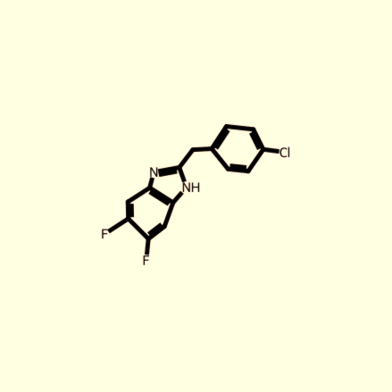 Fc1cc2nc(Cc3ccc(Cl)cc3)[nH]c2cc1F